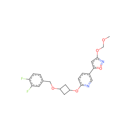 COCOc1cc(-c2ccc(OC3CC(OCc4ccc(F)c(F)c4)C3)nc2)on1